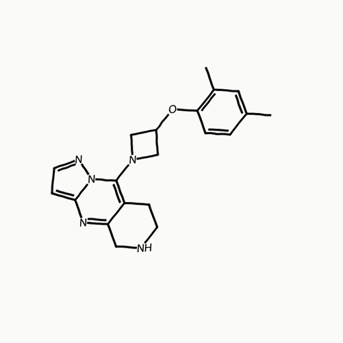 Cc1ccc(OC2CN(c3c4c(nc5ccnn35)CNCC4)C2)c(C)c1